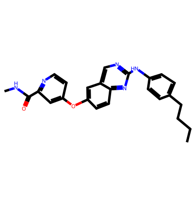 CCCCc1ccc(Nc2ncc3cc(Oc4ccnc(C(=O)NC)c4)ccc3n2)cc1